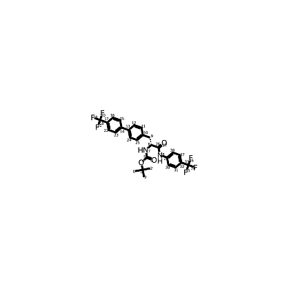 CC(C)(C)OC(=O)N[C@H](Cc1ccc(-c2ccc(C(F)(F)F)cc2)cc1)C(=O)Nc1ccc(C(F)(F)F)cc1